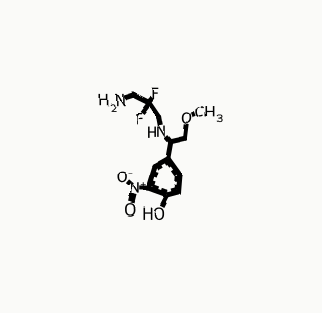 COCC(NCC(F)(F)CN)c1ccc(O)c([N+](=O)[O-])c1